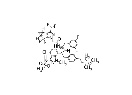 COC(C)(C)CCc1ccc2c(c1)N=C([C@H](Cc1cc(F)cc(F)c1)NC(=O)Cn1nc(C(F)F)c3c1C(F)(F)[C@@H]1C[C@H]31)N(c1ccc(Cl)c3c(NS(C)(=O)=O)nn(C)c13)C2